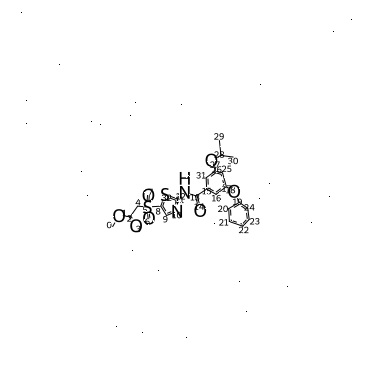 COC(=O)CS(=O)(=O)c1cnc(NC(=O)c2cc(Oc3ccccc3)cc(OC(C)C)c2)s1